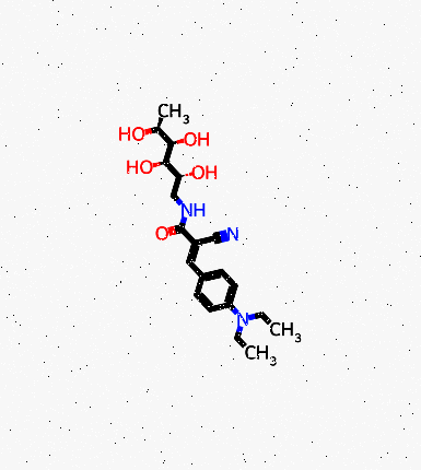 CCN(CC)c1ccc(/C=C(\C#N)C(=O)NC[C@@H](O)[C@@H](O)[C@H](O)[C@H](C)O)cc1